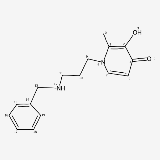 Cc1c(O)c(=O)ccn1CCCNCc1ccccc1